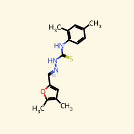 Cc1ccc(NC(=S)N/N=C/c2cc(C)c(C)o2)c(C)c1